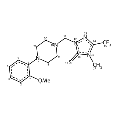 COc1ccccc1N1CCN(Cn2nc(C(F)(F)F)n(C)c2=S)CC1